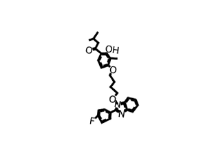 Cc1c(OCCCCOn2c(-c3ccc(F)cc3)nc3ccccc32)ccc(C(=O)CC(C)C)c1O